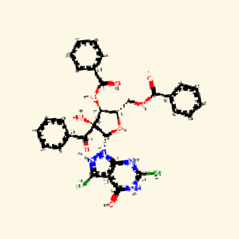 O=C(OC[C@@H]1O[C@H](n2nc(Br)c3c(=O)[nH]c(Br)nc32)[C@](O)(C(=O)c2ccccc2)[C@H]1OC(=O)c1ccccc1)c1ccccc1